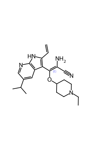 C=Cc1[nH]c2ncc(C(C)C)cc2c1/C(OC1CCN(CC)CC1)=C(\N)C#N